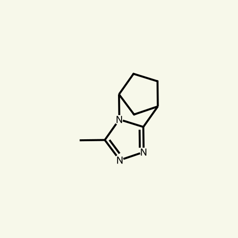 Cc1nnc2n1C1CCC2C1